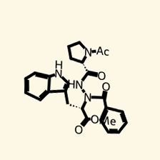 COC(=O)[C@H](Cc1c[nH]c2ccccc12)N(NC(=O)[C@@H]1CCCN1C(C)=O)C(=O)c1ccccc1